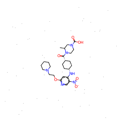 CC1CN(C(=O)O)CCN1C(=O)[C@H]1CC[C@@H](Nc2cc(OCCN3CCCCC3)ncc2[N+](=O)[O-])CC1